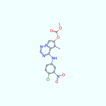 COC(=O)Oc1cn2ncnc(Nc3ccc(Cl)c([N+](=O)[O-])c3)c2c1C